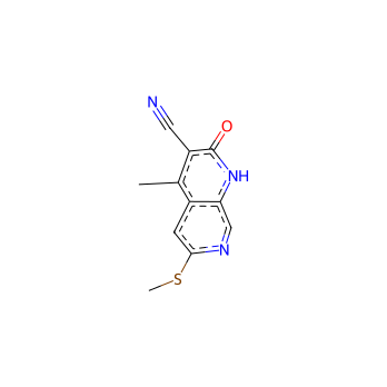 CSc1cc2c(C)c(C#N)c(=O)[nH]c2cn1